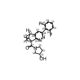 CC1(C)[C@@H]2CC[C@@]1(C(=O)N1CC[C@@H](O)C1)c1nnc(-c3c(F)cccc3F)cc12